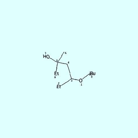 CCC(C)OC(CC)CC(C)(O)CC